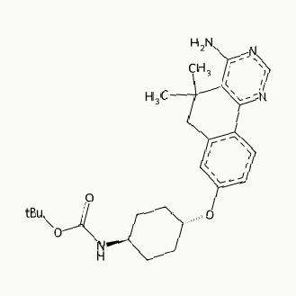 CC(C)(C)OC(=O)N[C@H]1CC[C@H](Oc2ccc3c(c2)CC(C)(C)c2c(N)ncnc2-3)CC1